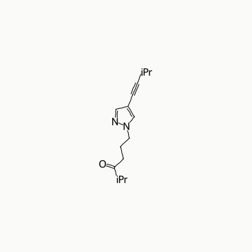 CC(C)C#Cc1cnn(CCCC(=O)C(C)C)c1